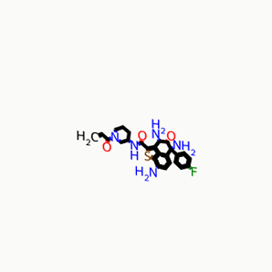 C=CC(=O)N1CCCC(NC(=O)c2sc3c(N)ccc4c3c2C(N)C(=O)C4(N)c2ccc(F)cc2)C1